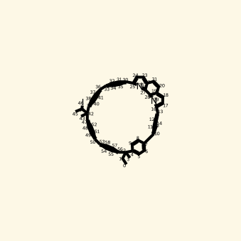 CCC1(C)c2ccc(cc2)-c2ccc(cc2)-c2ccc3ccc4ccc(nc4c3n2)-c2ccc(cc2)-c2ccc(cc2)C(C)(C(C)I)c2ccc(cc2)-c2ccc1cc2